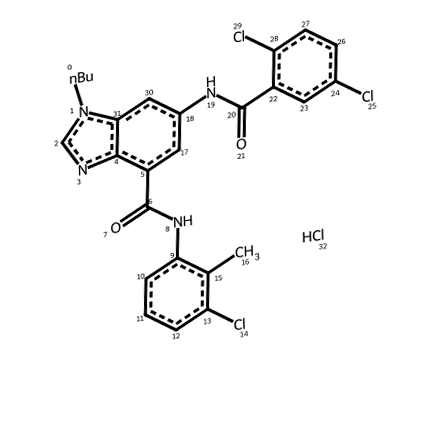 CCCCn1cnc2c(C(=O)Nc3cccc(Cl)c3C)cc(NC(=O)c3cc(Cl)ccc3Cl)cc21.Cl